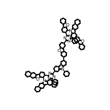 c1ccc(-c2nc(-c3ccc4c5cc(-c6ccc7c(c6)oc6ccc(-c8nc(-c9ccc%10oc%11ccccc%11c%10c9)nc(-c9ccc%10c(oc%11ccccc%11%10)c9-n9c%10cc%11ccccc%11cc%10c%10cc%11ccccc%11cc%109)n8)cc67)ccc5n(-c5ccccc5)c4c3)nc(-c3ccc4c(oc5cc6ccccc6cc54)c3-n3c4cc5ccccc5cc4c4cc5ccccc5cc43)n2)cc1